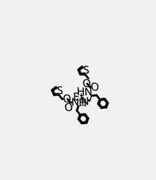 CCN(C[C@H](Cc1ccccc1)NC(=O)OCc1cccs1)C[C@H](Cc1ccccc1)NC(=O)OCc1cccs1